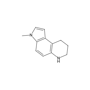 Cn1ccc2c3c(ccc21)NCCC3